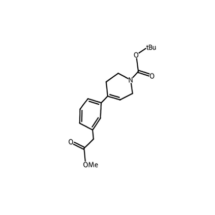 COC(=O)Cc1cccc(C2=CCN(C(=O)OC(C)(C)C)CC2)c1